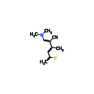 C=C(F)/C=C(\C)C(C#N)=CN(C)C